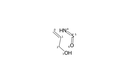 C=CCO.N=S=O